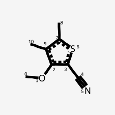 COc1c(C#N)sc(C)c1C